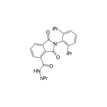 CCCNC(=O)c1cccc2c1C(=O)N(c1c(C(C)C)cccc1C(C)C)C2=O